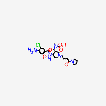 COc1cc(N)c(Cl)cc1C(=O)N[C@H]1CCN(CCCC(=O)N2CCCC2)C[C@H]1CN(C)C(=O)O